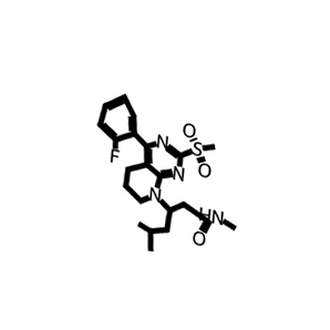 CNC(=O)CC(CC(C)C)N1CCCc2c(-c3ccccc3F)nc(S(C)(=O)=O)nc21